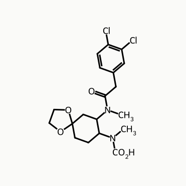 CN(C(=O)O)C1CCC2(CC1N(C)C(=O)Cc1ccc(Cl)c(Cl)c1)OCCO2